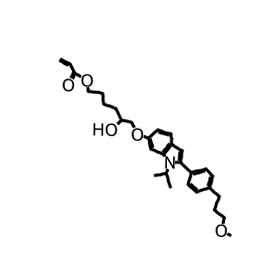 C=CC(=O)OCCCCC(O)COc1ccc2cc(-c3ccc(CCCOC)cc3)n(C(C)C)c2c1